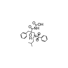 CC(C)CCN(C[C@](O)(Cc1ccccc1)C(=O)NC(=O)O)S(=O)(=O)c1ccccc1